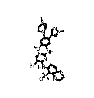 COc1cc(N2CC3CC2CN3C)c(-c2cnn(C)c2)cc1Nc1ncc(Br)c(Nc2ccc3nccnc3c2P(C)(C)=O)n1